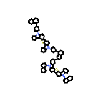 c1ccc2c(-c3ccc(-n4c5ccccc5c5c6sc7c(ccc8c7c7ccccc7n8-c7ccc(-c8cccc9ccc(-c%10ccc%11c(c%10)c%10c%12sc%13c(ccc%14c%13c%13ccccc%13n%14-c%13cccc%14ccccc%13%14)c%12ccc%10n%11-c%10cccc%11ccccc%10%11)cc89)cc7)c6ccc54)cc3)cccc2c1